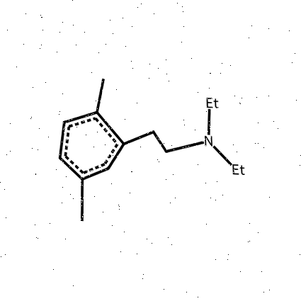 CCN(CC)CCc1cc(C)ccc1C